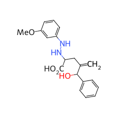 C=C(CC(NNc1cccc(OC)c1)C(=O)O)C(O)c1ccccc1